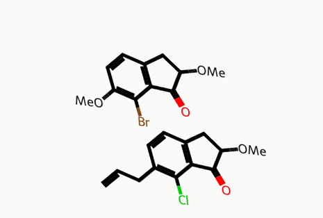 C=CCc1ccc2c(c1Cl)C(=O)C(OC)C2.COc1ccc2c(c1Br)C(=O)C(OC)C2